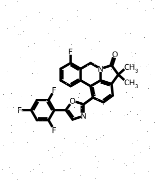 CC1(C)C(=O)N2Cc3c(F)cccc3-c3c(-c4ncc(-c5c(F)cc(F)cc5F)o4)ccc1c32